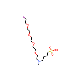 CN(CCCCS(=O)(=O)O)CCOCCOCCOCCOCCI